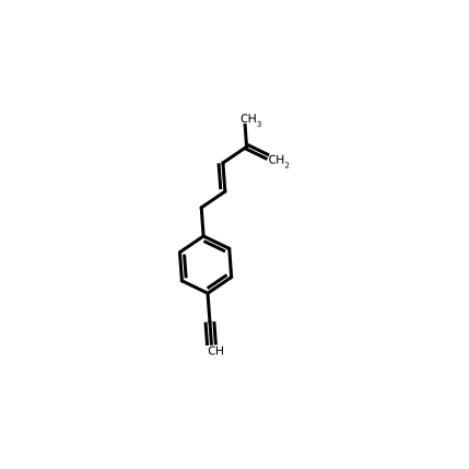 C#Cc1ccc(C/C=C/C(=C)C)cc1